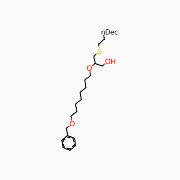 CCCCCCCCCCCCSCC(CO)OCCCCCCCCOCc1ccccc1